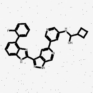 OC(Nc1cncc(-c2cc3c(-c4nc5c(-c6ccccc6F)cccc5[nH]4)n[nH]c3cn2)c1)C1CCC1